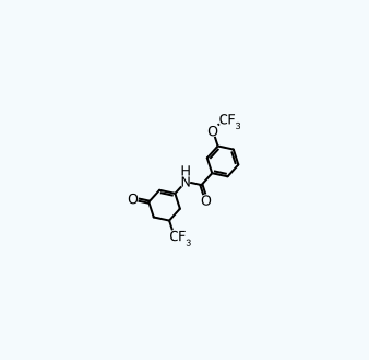 O=C1C=C(NC(=O)c2cccc(OC(F)(F)F)c2)CC(C(F)(F)F)C1